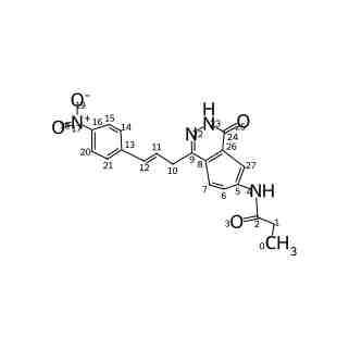 CCC(=O)Nc1ccc2c(C/C=C/c3ccc([N+](=O)[O-])cc3)n[nH]c(=O)c2c1